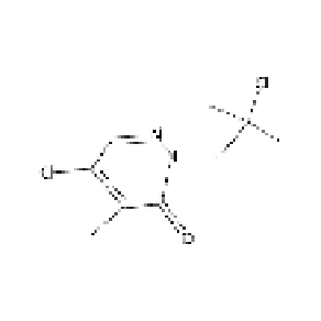 Cc1c(Cl)cnn(CC(C)(C)Cl)c1=O